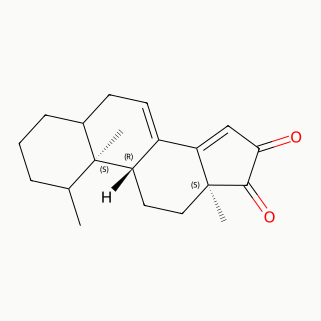 CC1CCCC2CC=C3C4=CC(=O)C(=O)[C@@]4(C)CC[C@@H]3[C@@]12C